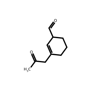 CC(=O)CC1=CC(C=O)CCC1